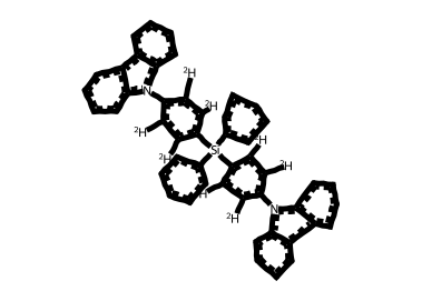 [2H]c1c([2H])c([Si](c2ccccc2)(c2ccccc2)c2c([2H])c([2H])c(-n3c4ccccc4c4ccccc43)c([2H])c2[2H])c([2H])c([2H])c1-n1c2ccccc2c2ccccc21